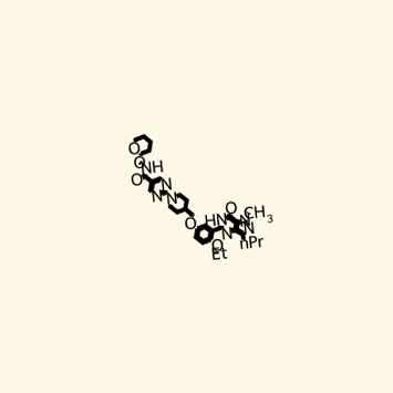 CCCc1nn(C)c2c(=O)[nH]c(-c3cc(OCC4CCN(c5ncc(C(=O)NOC6CCCCO6)cn5)CC4)ccc3OCC)nc12